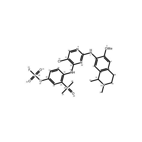 COc1cc2c(cc1Nc1ncc(Cl)c(Nc3ccc(OS(=O)(=O)F)cc3P(C)(C)=O)n1)C(C)N(C)CC2